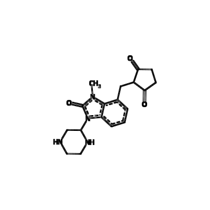 Cn1c(=O)n(C2CNCCN2)c2cccc(CC3C(=O)CCC3=O)c21